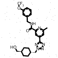 Cc1cc(-c2nnn(C[C@H]3CC[C@H](CO)CC3)n2)cc(C(=O)NCc2cccc(OC(F)(F)F)c2)n1